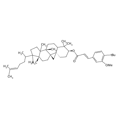 COc1cc(/C=C/C(=O)O[C@H]2CC[C@]34C[C@]35CC[C@]3(C)C(C)(C(C)CCC=C(C)C)CCC3(C)[C@]5(C)CCC4C2(C)C)ccc1C(C)(C)C